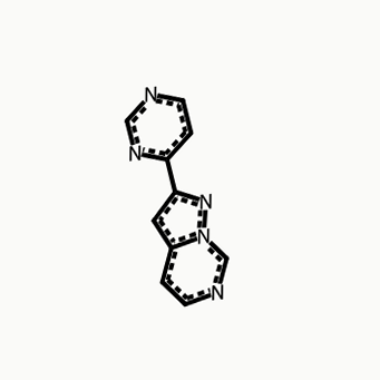 c1cc(-c2cc3ccncn3n2)ncn1